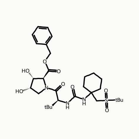 CC(C)(C)[C@H](NC(=O)NC1(CS(=O)(=O)C(C)(C)C)CCCCC1)C(=O)N1C[C@H](O)[C@H](O)[C@H]1C(=O)OCc1ccccc1